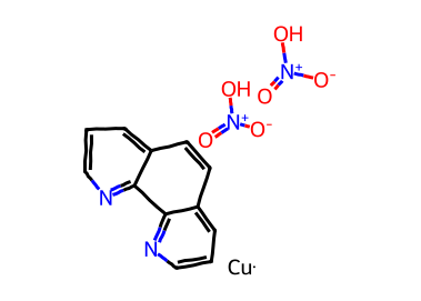 O=[N+]([O-])O.O=[N+]([O-])O.[Cu].c1cnc2c(c1)ccc1cccnc12